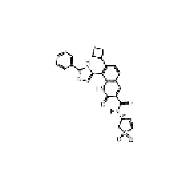 O=C(N[C@@H]1C=CS(=O)(=O)C1)c1cc2ccc(C3CCC3)c(-c3cnc(-c4ccccc4)[nH]3)c2[nH]c1=O